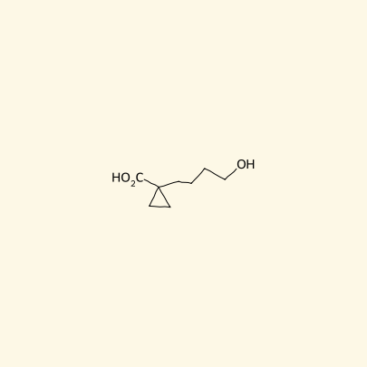 O=C(O)C1(CCCCO)CC1